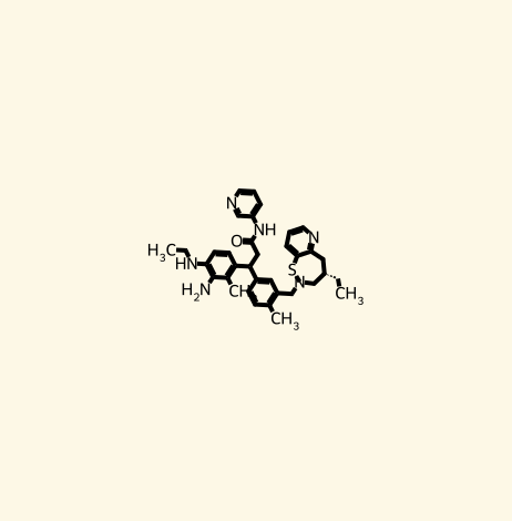 CCNc1ccc(C(CC(=O)Nc2cccnc2)c2ccc(C)c(CN3C[C@@H](CC)Cc4ncccc4S3)c2)c(C)c1N